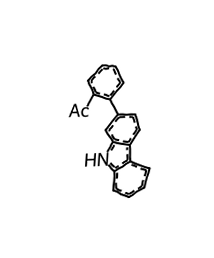 CC(=O)c1ccccc1-c1ccc2c(c1)[nH]c1ccccc12